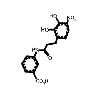 O=C(CCc1ccc([N+](=O)[O-])c(O)c1O)Nc1cccc(C(=O)O)c1